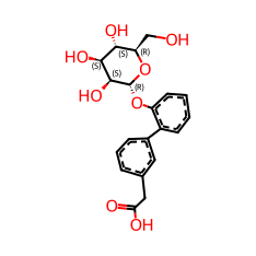 O=C(O)Cc1cccc(-c2ccccc2O[C@H]2O[C@H](CO)[C@@H](O)[C@H](O)[C@@H]2O)c1